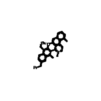 Cc1c2c(c(CC(C)(C)C)c3ccc(CC(C)C)cc13)Oc1cc3cccc(C)c3c3cc[n+](C)c-2c13